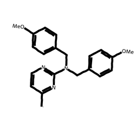 [CH2]c1ccnc(N(Cc2ccc(OC)cc2)Cc2ccc(OC)cc2)n1